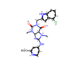 COc1cc(NC2=NC3C(C(=O)N(Cc4cc5c(Cl)cccc5[nH]4)C(=O)N3C)N2C)ccn1